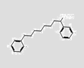 CCCCCC(CCCCCCCc1ccccc1)c1ccccc1